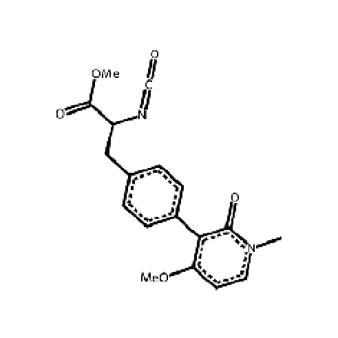 COC(=O)[C@H](Cc1ccc(-c2c(OC)ccn(C)c2=O)cc1)N=C=O